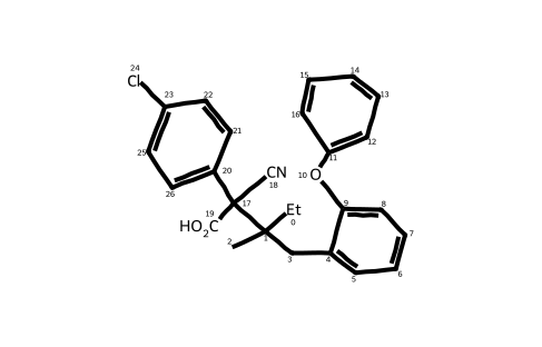 CCC(C)(Cc1ccccc1Oc1ccccc1)C(C#N)(C(=O)O)c1ccc(Cl)cc1